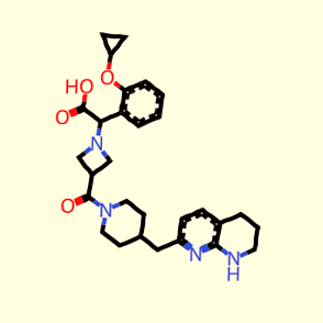 O=C(O)C(c1ccccc1OC1CC1)N1CC(C(=O)N2CCC(Cc3ccc4c(n3)NCCC4)CC2)C1